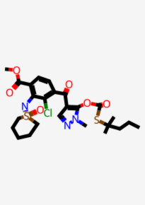 CCCC(C)(C)SC(=O)Oc1c(C(=O)c2ccc(C(=O)OC)c(N=S3(=O)CCCCC3)c2Cl)cnn1C